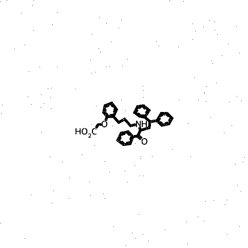 O=C(O)COc1ccccc1CCCNC(CC(c1ccccc1)c1ccccc1)C(=O)c1ccccc1